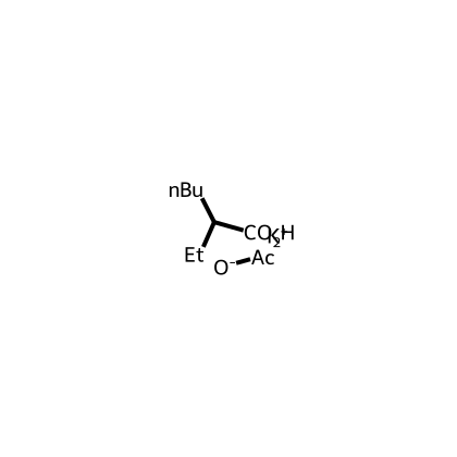 CC(=O)[O-].CCCCC(CC)C(=O)O.[K+]